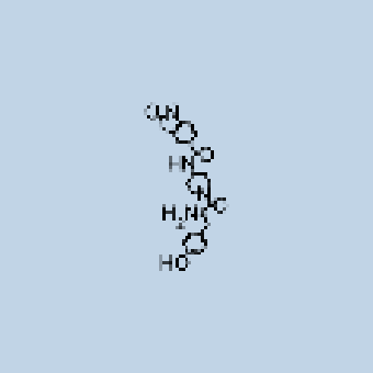 CN1C(=O)Cc2cc(C(=O)NC3CCN(C(=O)[C@@H](N)Cc4ccc(O)cc4)CC3)ccc21